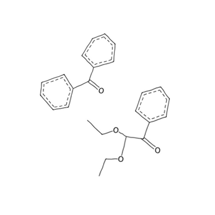 CCOC(OCC)C(=O)c1ccccc1.O=C(c1ccccc1)c1ccccc1